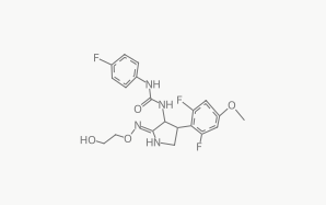 COc1cc(F)c(C2CN/C(=N\OCCO)C2NC(=O)Nc2ccc(F)cc2)c(F)c1